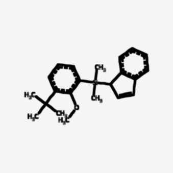 COc1c(C(C)(C)C)cccc1[Si](C)(C)C1C=Cc2ccccc21